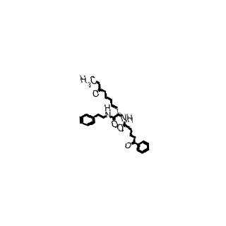 CCC(=O)CCCCC[C@H](NC(=O)CCCC(=O)c1ccccc1)C(=O)NCCc1ccccc1